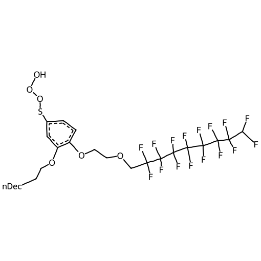 CCCCCCCCCCCCOc1cc(SOOO)ccc1OCCOCC(F)(F)C(F)(F)C(F)(F)C(F)(F)C(F)(F)C(F)(F)C(F)(F)C(F)F